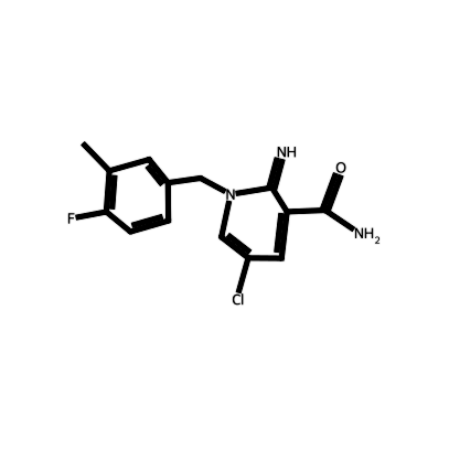 Cc1cc(Cn2cc(Cl)cc(C(N)=O)c2=N)ccc1F